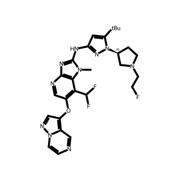 Cn1c(Nc2cc(C(C)(C)C)n([C@H]3CCN(CCF)C3)n2)nc2ncc(Oc3cnn4ccncc34)c(C(F)F)c21